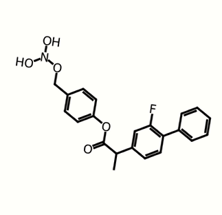 CC(C(=O)Oc1ccc(CON(O)O)cc1)c1ccc(-c2ccccc2)c(F)c1